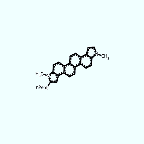 CCCCCc1cc2c3ccc4c(ccc5c4ccc4c5ccn4C)c3ccc2n1C